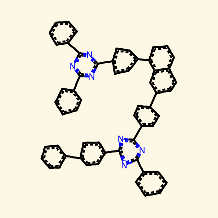 c1ccc(-c2ccc(-c3nc(-c4ccccc4)nc(-c4ccc(-c5ccc6cccc(-c7ccc(-c8nc(-c9ccccc9)nc(-c9ccccc9)n8)cc7)c6c5)cc4)n3)cc2)cc1